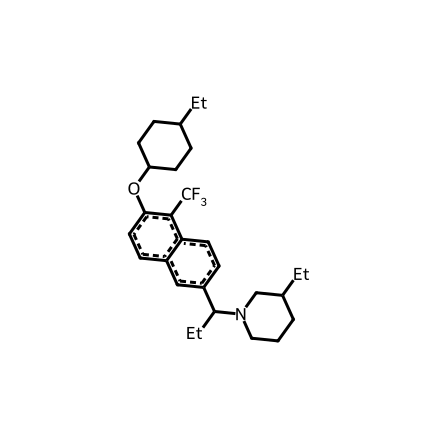 CCC1CCC(Oc2ccc3cc(C(CC)N4CCCC(CC)C4)ccc3c2C(F)(F)F)CC1